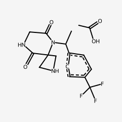 CC(=O)O.CC(c1ccc(C(F)(F)F)cc1)N1C(=O)CNC(=O)C12CNC2